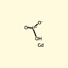 [Gd].[O-][I+2]([O-])O